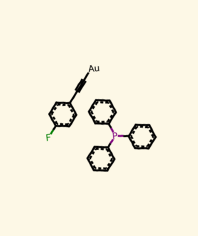 Fc1ccc(C#[C][Au])cc1.c1ccc(P(c2ccccc2)c2ccccc2)cc1